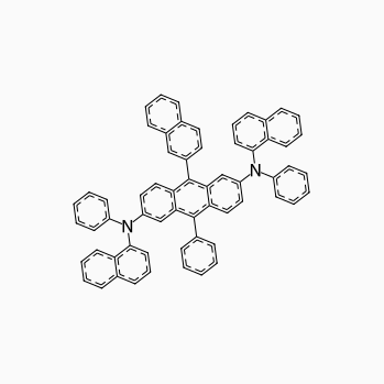 c1ccc(-c2c3ccc(N(c4ccccc4)c4cccc5ccccc45)cc3c(-c3ccc4ccccc4c3)c3ccc(N(c4ccccc4)c4cccc5ccccc45)cc23)cc1